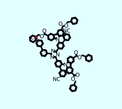 [C-]#[N+]c1ccc(-c2cccc(-c3nc(-c4ccc(-c5cccc(C#N)c5)c(-n5c6ccc(C(=O)OCc7ccccc7)cc6c6cc(C(=O)OCc7ccccc7)ccc65)c4)nc(-c4ccc(-c5cccc([N+]#[C-])c5)c(-n5c6ccc(C(=O)OCc7ccccc7)cc6c6cc(C(=O)OCc7ccccc7)ccc65)c4)n3)c2)cc1